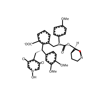 COc1ccc(N(Cc2cccc(C(=O)[O-])c2[C@@H](Cc2c(Cl)c[n+](O)cc2Cl)c2ccc(OC)c(OC)c2)C(=O)O[C@H]2CN3CCC2CC3)cc1